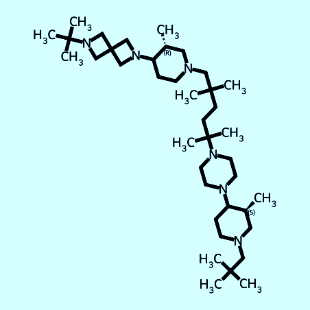 C[C@@H]1CN(CC(C)(C)CCC(C)(C)N2CCN(C3CCN(CC(C)(C)C)C[C@@H]3C)CC2)CCC1N1CC2(C1)CN(C(C)(C)C)C2